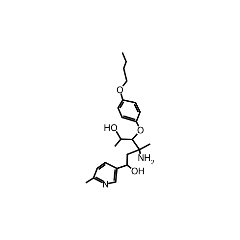 CCCCOc1ccc(OC(C(C)O)C(C)(N)CC(O)c2ccc(C)nc2)cc1